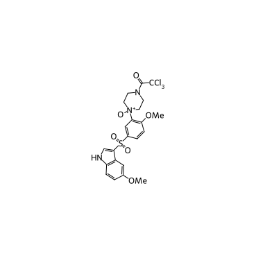 COc1ccc2[nH]cc(S(=O)(=O)c3ccc(OC)c([N+]4([O-])CCN(C(=O)C(Cl)(Cl)Cl)CC4)c3)c2c1